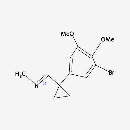 C/N=C/C1(c2cc(Br)c(OC)c(OC)c2)CC1